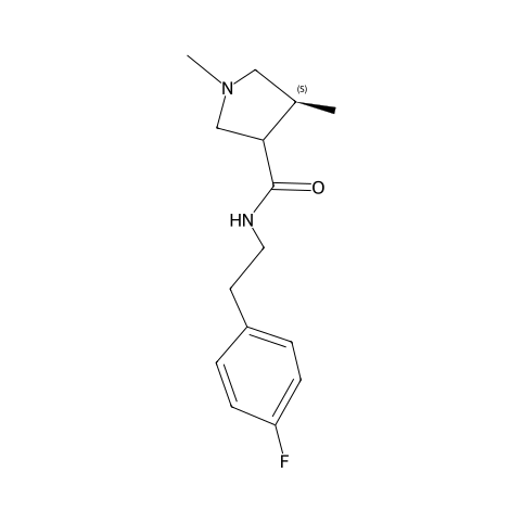 C[C@@H]1CN(C)CC1C(=O)NCCc1ccc(F)cc1